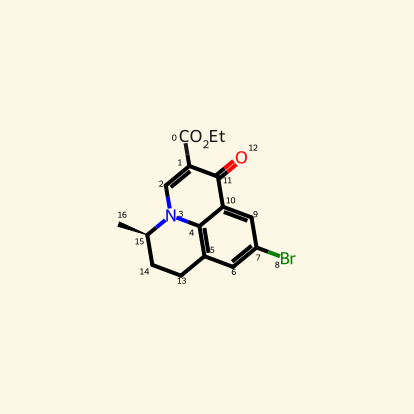 CCOC(=O)c1cn2c3c(cc(Br)cc3c1=O)CC[C@H]2C